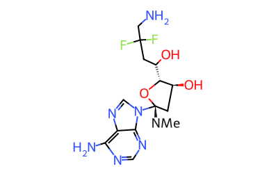 CN[C@]1(n2cnc3c(N)ncnc32)C[C@H](O)[C@@H](C(O)CC(F)(F)CN)O1